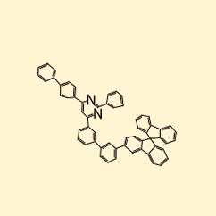 c1ccc(-c2ccc(-c3cc(-c4cccc(-c5cccc(-c6ccc7c(c6)-c6ccccc6C76c7ccccc7-c7ccccc76)c5)c4)nc(-c4ccccc4)n3)cc2)cc1